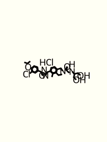 Cc1c(-c2noc(-c3ccc(OC(C)C)c(Cl)c3)n2)ccc2c1CCN(C(=O)CNC(CO)CO)C2.Cl